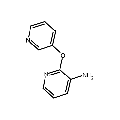 Nc1cccnc1Oc1cccnc1